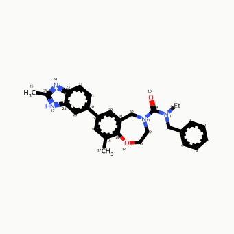 CCN(Cc1ccccc1)C(=O)N1CCOc2c(C)cc(-c3ccc4nc(C)[nH]c4c3)cc2C1